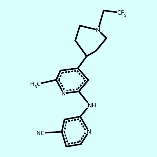 Cc1cc(C2CCN(CC(F)(F)F)CC2)cc(Nc2cc(C#N)ccn2)n1